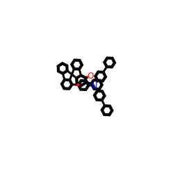 c1ccc(-c2ccc(N(c3ccc(-c4ccccc4)cc3)c3ccc(-c4cccc5c4C4(c6ccccc6-5)c5ccccc5-c5c4ccc4c5oc5ccccc54)cc3)cc2)cc1